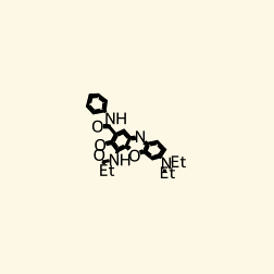 CCC(=O)Nc1c2oc3cc(N(CC)CC)ccc3nc-2cc(C(=O)Nc2ccccc2)c1=O